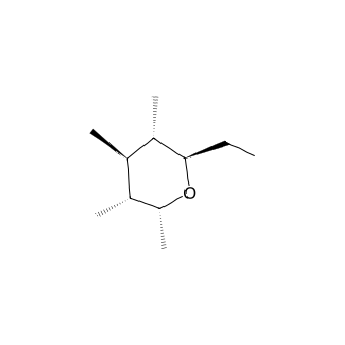 CC[C@H]1O[C@H](C)[C@H](C)[C@@H](C)[C@@H]1C